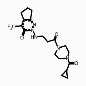 O=C(CCNn1nc2c(c(C(F)(F)F)c1=O)CCC2)N1CCN(C(=O)C2CC2)CC1